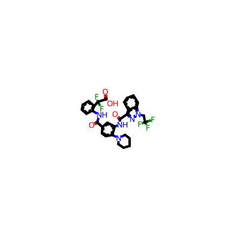 O=C(Nc1ccccc1C(F)(F)C(=O)O)c1ccc(N2CCCCC2)c(NC(=O)c2nn(CC(F)(F)F)c3ccccc23)c1